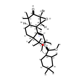 COC(=O)[C@]1(CCC(C)(C)[C@]2(C)CC[C@H]3C(C)(C)C(=O)[C@]4(Br)O[C@@H]4[C@]3(C)/C2=C/C(C)=O)CCC(C)(C)CC1C